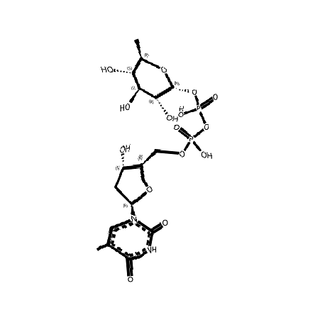 Cc1cn([C@H]2C[C@H](O)[C@@H](COP(=O)(O)OP(=O)(O)O[C@H]3O[C@H](C)[C@@H](O)[C@H](O)[C@H]3O)O2)c(=O)[nH]c1=O